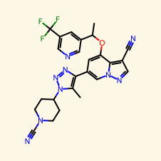 Cc1c(-c2cc(OC(C)c3cncc(C(F)(F)F)c3)c3c(C#N)cnn3c2)nnn1C1CCN(C#N)CC1